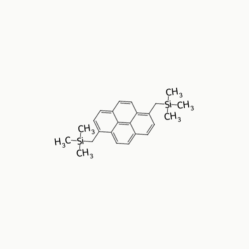 C[Si](C)(C)Cc1ccc2ccc3c(C[Si](C)(C)C)ccc4ccc1c2c43